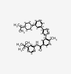 Cc1ncc(C(=O)Nc2cc(C(C)(C)C)ncn2)cc1-n1cc(-c2cncc(N3CCN(C(C)C)CC3)c2)nn1